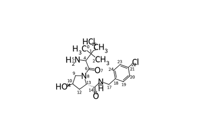 CC(C)(C)C(N)C(=O)N1C[C@H](O)C[C@H]1C(=O)NCc1ccc(Cl)cc1.Cl